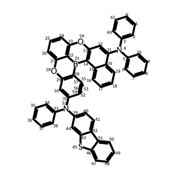 c1ccc(N(c2ccccc2)c2cc3c(c4ccccc24)B2c4c(cccc4Oc4cc(N(c5ccccc5)c5ccc6c(c5)sc5ccccc56)c5ccccc5c42)O3)cc1